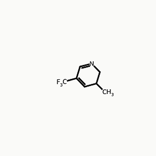 CC1C=C(C(F)(F)F)C=NC1